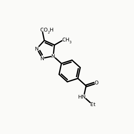 CCNC(=O)c1ccc(-n2nnc(C(=O)O)c2C)cc1